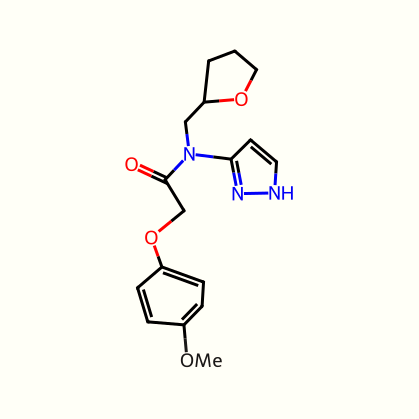 COc1ccc(OCC(=O)N(CC2CCCO2)c2cc[nH]n2)cc1